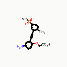 CCCS(=O)(=O)c1ccc(C)c(C#Cc2cc(N)ccc2OCC(=O)O)c1